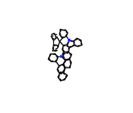 c1ccc(-c2cccc(N(c3cc4c5c(c3)c3ccccc3n5-c3ccccc3C43c4ccccc4-c4ccccc43)c3ccccc3-c3ccccc3-c3ccccc3)c2)cc1